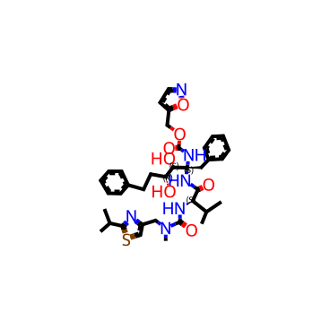 CC(C)c1nc(CN(C)C(=O)N[C@H](C(=O)N[C@@](Cc2ccccc2)(NC(=O)OCc2ccno2)[C@H](O)[C@H](O)CCc2ccccc2)C(C)C)cs1